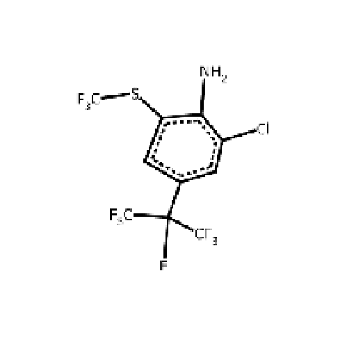 Nc1c(Cl)cc(C(F)(C(F)(F)F)C(F)(F)F)cc1SC(F)(F)F